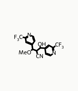 COC(c1ccnc(C(F)(F)F)c1)C(C#N)C(O)c1ccnc(C(F)(F)F)c1